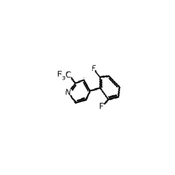 Fc1cccc(F)c1-c1[c]c(C(F)(F)F)ncc1